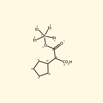 CCP(CC)(CC)(CC)OC(=O)C(C(=O)O)C1CCCC1